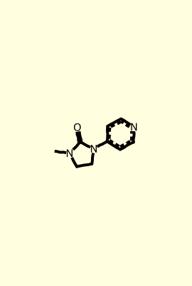 CN1CCN(c2ccncc2)C1=O